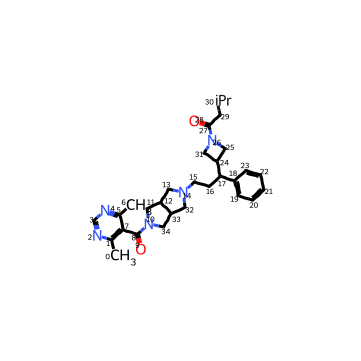 Cc1ncnc(C)c1C(=O)N1CC2CN(CCC(c3ccccc3)C3CN(C(=O)CC(C)C)C3)CC2C1